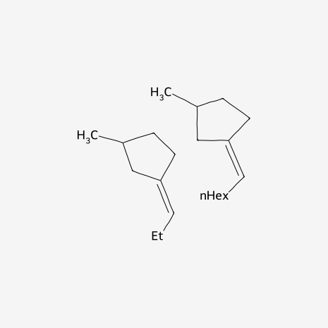 CCC=C1CCC(C)C1.CCCCCCC=C1CCC(C)C1